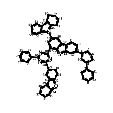 c1ccc(-c2cccc(-c3ccc4c(c3)sc3c(-c5nc(-c6ccccc6)nc(-c6ccc7oc8ccccc8c7c6)n5)cc(-n5c6ccccc6c6ccccc65)cc34)c2)cc1